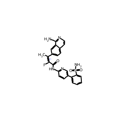 C/C(=C(\F)C(=O)Nc1ccc(-c2ccccc2S(N)(=O)=O)cn1)c1ccc2ccnc(N)c2c1